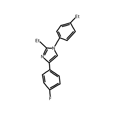 [CH2]Cc1ccc(-n2cc(-c3ccc(F)cc3)nc2CC)cc1